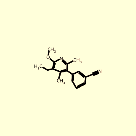 CCc1c(OC)nc(C)c(-c2cccc(C#N)c2)c1C